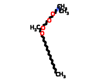 CCCCCCCCCCCCCCCCCCOCC(C)OCCCOCCOCCN(C)C